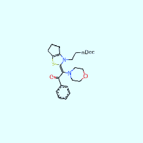 CCCCCCCCCCCCN1C2=C(CCC2)S/C1=C(\C(=O)c1ccccc1)N1CCOCC1